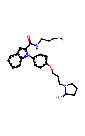 CCCCNC(=O)c1cc2ccccc2n1-c1ccc(OCCCN2CCCC2C)cc1